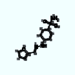 NS(=O)(=O)c1ccc(NN=Cc2ccco2)cc1